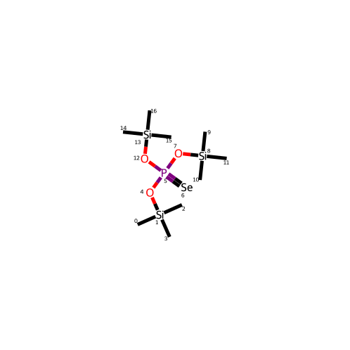 C[Si](C)(C)OP(=[Se])(O[Si](C)(C)C)O[Si](C)(C)C